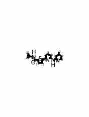 Cc1ccnc(Nc2cccc(-c3ccc(C(=O)NC4CC4)s3)n2)c1